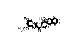 COc1cc(Br)cn2cc(C(=O)N3CC[C@]4(Cc5ccccc5CN4)[C@H](O)C3)nc12